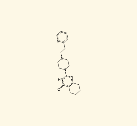 O=c1[nH]c(N2CCN(CCc3ccccn3)CC2)nc2c1CCCC2